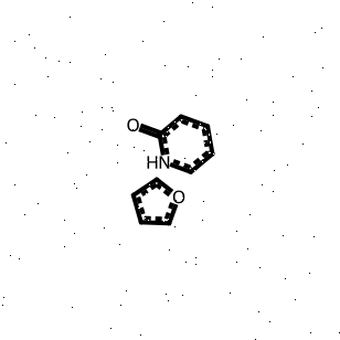 O=c1cccc[nH]1.c1ccoc1